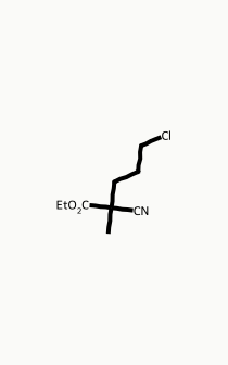 CCOC(=O)C(C)(C#N)CCCCl